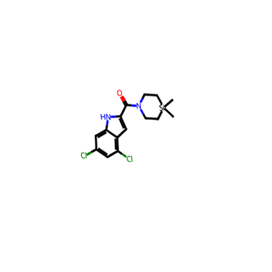 C[Si]1(C)CCN(C(=O)c2cc3c(Cl)cc(Cl)cc3[nH]2)CC1